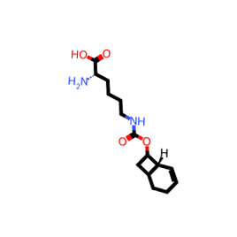 N[C@@H](CCCCNC(=O)OC1CC2CCC=C[C@H]21)C(=O)O